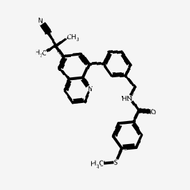 CSc1ccc(C(=O)NCc2cccc(-c3cc(C(C)(C)C#N)cc4cccnc34)c2)cc1